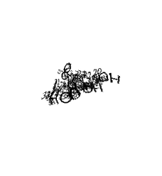 CC(=O)O[C@H]1C[C@@]2(C)[C@H](C[C@@H](O)[C@@H]3[C@@]4(C)CC[C@@H](O)[C@@H](C)C4CC[C@@]32C)C1=C(CCC(I)=C(C)C)C(=O)O